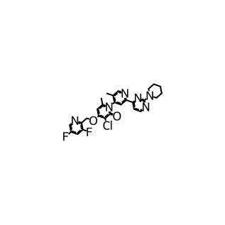 Cc1cnc(-c2ccnc(N3CCCCC3)n2)cc1-n1c(C)cc(OCc2ncc(F)cc2F)c(Cl)c1=O